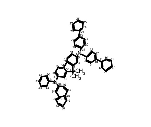 CC1(C)c2cc(N(c3ccc(-c4ccccc4)cc3)c3ccc(-c4ccccc4)cc3)ccc2-c2ccc(N(c3ccccc3)c3ccc4ccccc4c3)cc21